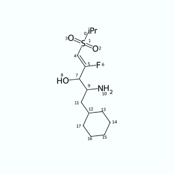 CC(C)S(=O)(=O)/C=C(\F)C(O)C(N)CC1CCCCC1